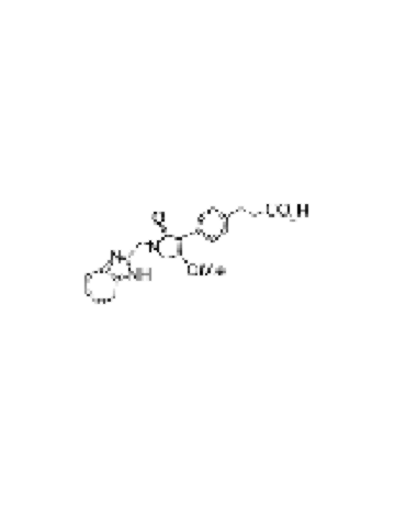 COC1=C(c2ccc(CCC(=O)O)cc2)C(=O)N(Cc2nc3ccccc3[nH]2)C1